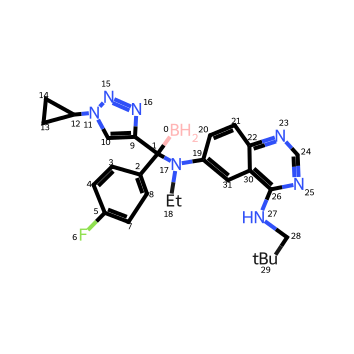 BC(c1ccc(F)cc1)(c1cn(C2CC2)nn1)N(CC)c1ccc2ncnc(NCC(C)(C)C)c2c1